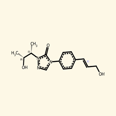 C[C@@H](O)[C@H](C)n1ncn(-c2ccc(/C=C/CO)cc2)c1=O